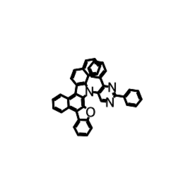 c1ccc(-c2ncc(-n3c4c5ccccc5ccc4c4c5ccccc5c5c6ccccc6oc5c43)c(-c3ccccc3)n2)cc1